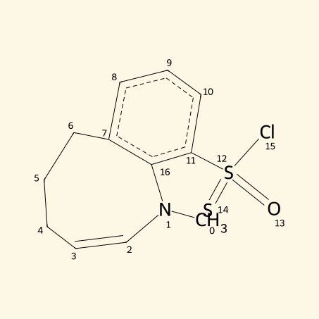 CN1/C=C\CCCc2cccc(S(=O)(=S)Cl)c21